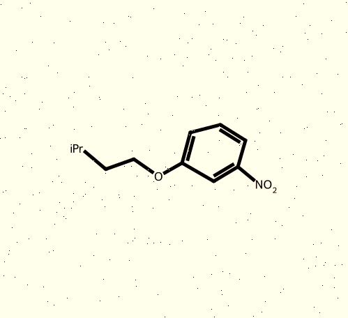 CC(C)CCOc1cccc([N+](=O)[O-])c1